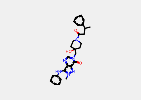 CC(CC(=O)N1CCC(O)(Cn2cnc3c(Nc4ccccc4)n(C)nc3c2=O)CC1)c1ccccc1